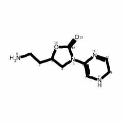 NCCC1CN(C2=CNCC=N2)C(=O)O1